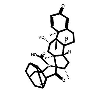 C[C@H]1C[C@H]2[C@@H]3CCC4=CC(=O)C=C[C@]4(C)[C@@]3(F)[C@@H](O)C[C@]2(C)[C@]1(C(=O)CO)N(C(=O)O)C12CC3CC(CC(C3)C1)C2